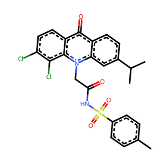 Cc1ccc(S(=O)(=O)NC(=O)Cn2c3cc(C(C)C)ccc3c(=O)c3ccc(Cl)c(Cl)c32)cc1